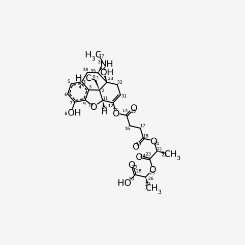 CC[C@]12c3c4ccc(O)c3O[C@H]1C(OC(=O)CCC(=O)O[C@@H](C)C(=O)O[C@@H](C)C(=O)O)=CC[C@@]2(O)[C@H](NC)C4